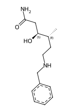 C[C@H](CCNCc1ccccc1)[C@@H](O)CC(N)=O